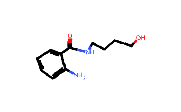 Nc1ccccc1C(=O)NCCCCO